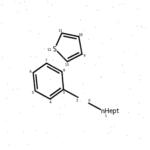 CCCCCCCC.Cc1ccccc1.c1ccsc1